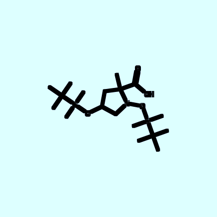 CC1(C(=O)O)CC(O[Si](C)(C)C(C)(C)C)CN1O[Si](C)(C)C(C)(C)C